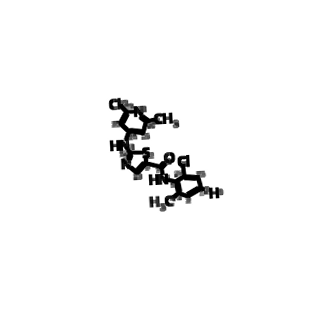 [2H]c1cc(C)c(NC(=O)c2cnc(Nc3cc(C)nc(Cl)c3)s2)c(Cl)c1